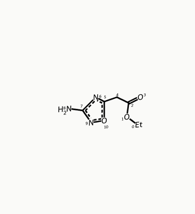 CCOC(=O)Cc1nc(N)no1